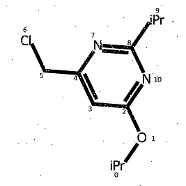 CC(C)Oc1cc(CCl)nc(C(C)C)n1